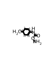 C=C1C=CC(NC(=O)ON)=CC1